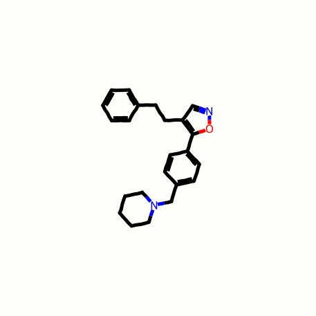 c1ccc(CCc2cnoc2-c2ccc(CN3CCCCC3)cc2)cc1